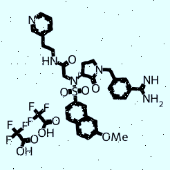 COc1ccc2ccc(S(=O)(=O)N(CC(=O)NCCc3cccnc3)[C@H]3CCN(Cc4cccc(C(=N)N)c4)C3=O)cc2c1.O=C(O)C(F)(F)F.O=C(O)C(F)(F)F